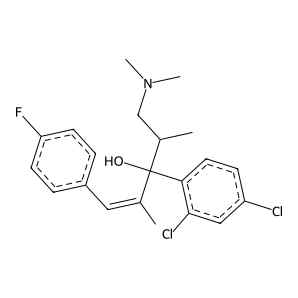 CC(=Cc1ccc(F)cc1)C(O)(c1ccc(Cl)cc1Cl)C(C)CN(C)C